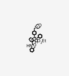 CCOC(=O)C1=C(C(=O)Nc2ccccc2C)C2C=CC1(C(Nc1ccccc1)c1ccc(CN3CCOCC3)cc1)O2